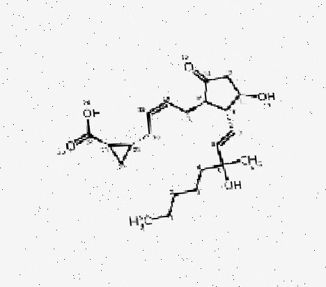 CCCCC[C@@](C)(O)/C=C/[C@H]1[C@H](O)CC(=O)[C@@H]1C/C=C\C[C@@H]1C[C@H]1C(=O)O